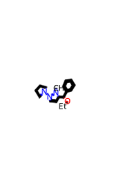 CCOC(c1ccccc1)C1C=CN(N2CCCC2)N1C